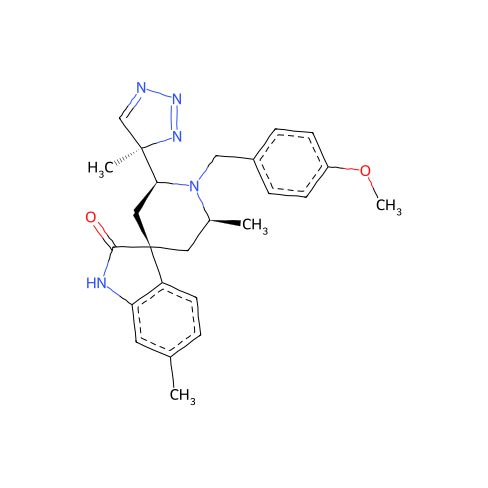 COc1ccc(CN2[C@H]([C@@]3(C)C=NN=N3)C[C@]3(C[C@@H]2C)C(=O)Nc2cc(C)ccc23)cc1